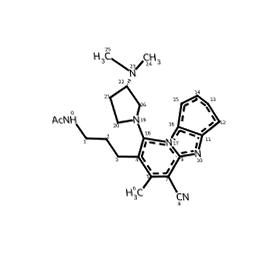 CC(=O)NCCCc1c(C)c(C#N)c2nc3ccccc3n2c1N1CC[C@H](N(C)C)C1